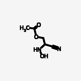 CC(=O)OCC(C#N)NO